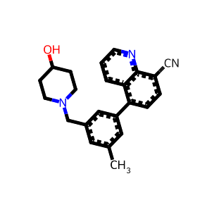 Cc1cc(CN2CCC(O)CC2)cc(-c2ccc(C#N)c3ncccc23)c1